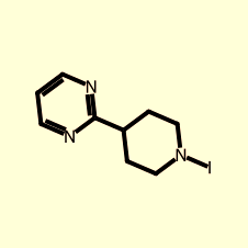 IN1CCC(c2ncccn2)CC1